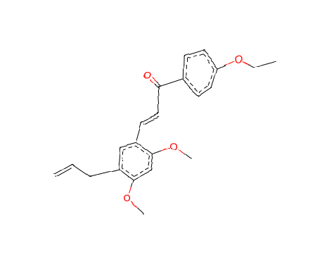 C=CCc1cc(C=CC(=O)c2ccc(OCC)cc2)c(OC)cc1OC